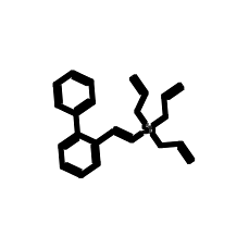 C=C[CH2][Sn]([CH]=Cc1ccccc1-c1ccccc1)([CH2]C=C)[CH2]C=C